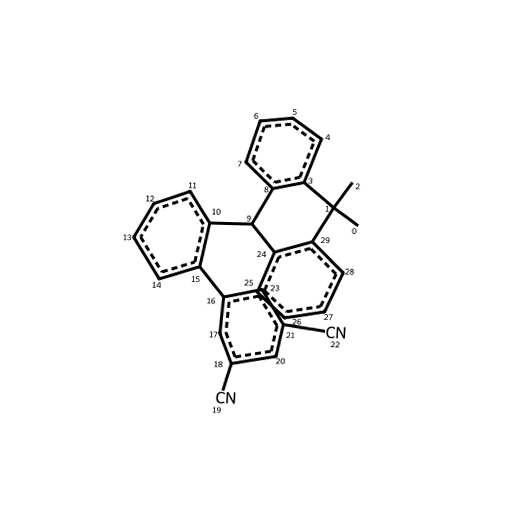 CC1(C)c2ccccc2C(c2ccccc2-c2cc(C#N)cc(C#N)c2)c2ccccc21